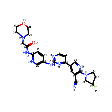 N#Cc1cc(-c2ccnc(Nc3ccc(NC(=O)CN4CCOCC4)nc3)n2)cnc1N1CCC(F)C1